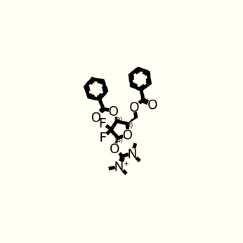 CN(C)C(O[C@@H]1O[C@H](COC(=O)c2ccccc2)[C@@H](OC(=O)c2ccccc2)C1(F)F)=[N+](C)C